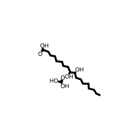 CCCCCCCCC(O)C(O)CCCCCCCC(=O)O.O=C(O)O